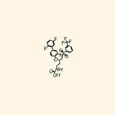 O=C(O)NCC[C@@H]1CN(S(=O)(=O)c2cccc(C(F)(F)F)c2)c2cc(-c3cc(F)ccc3F)ccc2O1